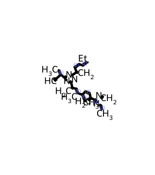 C#C/C(=C\C)c1nc(C(=C)/C=C\C=C/CC)nc(C(=C)/C=C(C)/C(/C=C\C(=C)/C(N=C)=N/C=C\C)=C/C)n1